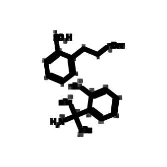 CCCCCCCCCCCCc1ccccc1S(=O)(=O)O.CCCCc1ccccc1C(N)(CCCC)CCCC